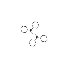 C1CCC(P(CCP(C2CCCCC2)C2CCCCC2)C2CCCCC2)CC1